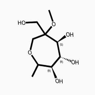 COC1(CO)COC(C)[C@H](O)[C@@H](O)[C@@H]1O